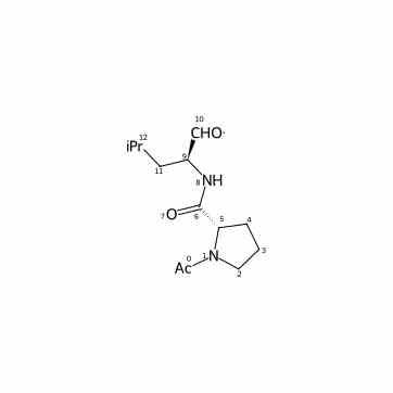 CC(=O)N1CCC[C@H]1C(=O)N[C@H]([C]=O)CC(C)C